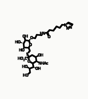 CC(=O)N[C@H]1C([C@H](O)[C@H](O)CO)O[C@@](SCC2O[C@@H](OCCCNC(=O)CCCCCn3ccnn3)C(O)[C@@H](O)[C@H]2O)(C(=O)O)C[C@H]1O